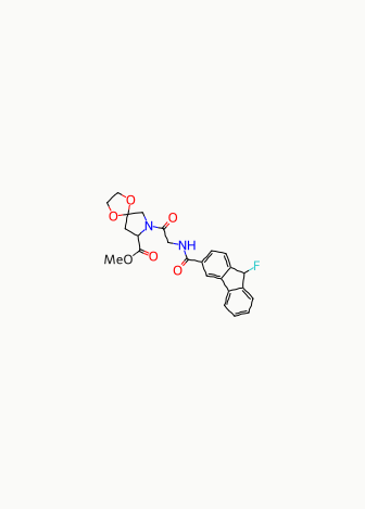 COC(=O)C1CC2(CN1C(=O)CNC(=O)c1ccc3c(c1)-c1ccccc1C3F)OCCO2